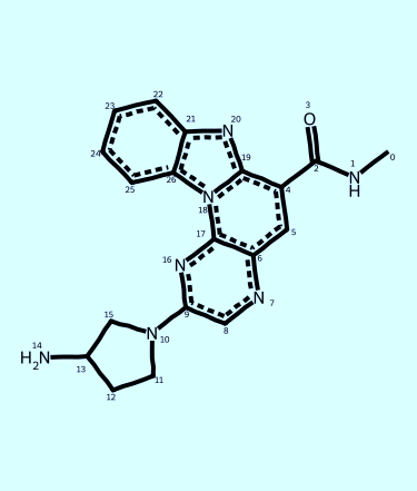 CNC(=O)c1cc2ncc(N3CCC(N)C3)nc2n2c1nc1ccccc12